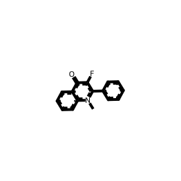 Cn1c(-c2ccccc2)c(F)c(=O)c2ccccc21